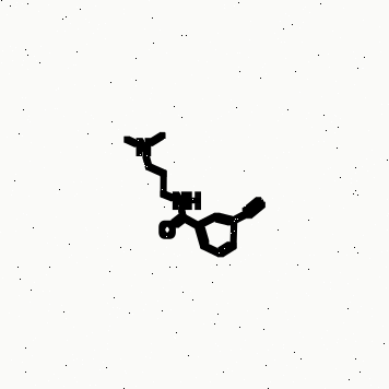 C#Cc1cccc(C(=O)NCCCN(C)C)c1